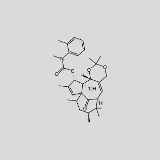 CC1=CC23C(=O)[C@@H](C=C4COC(C)(C)O[C@H]4[C@]2(O)[C@H]1OC(=O)N(C)c1ccccc1C)C(C)(C)[C@@H](C)CC3C